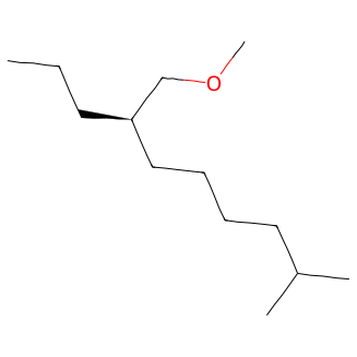 CCC[C@H](CCCCC(C)C)COC